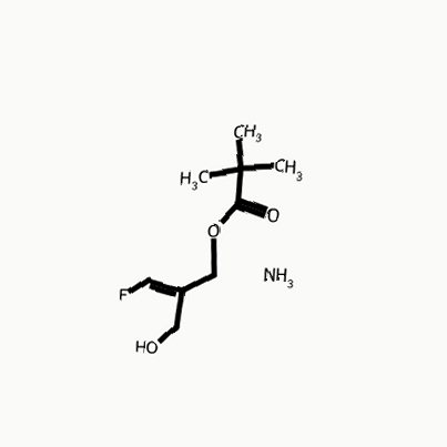 CC(C)(C)C(=O)OCC(=CF)CO.N